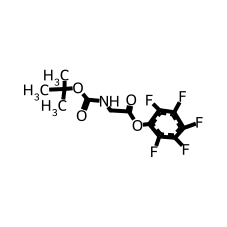 CC(C)(C)OC(=O)NCC(=O)Oc1c(F)c(F)c(F)c(F)c1F